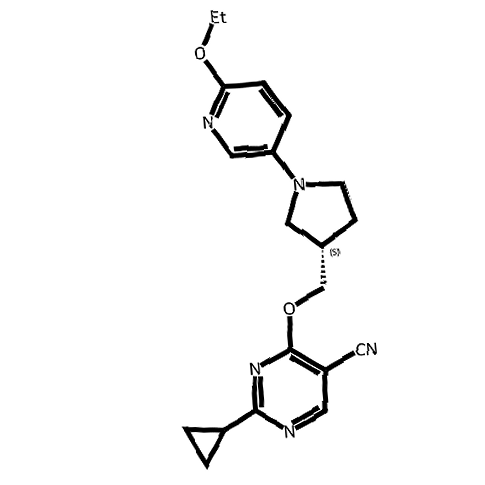 CCOc1ccc(N2CC[C@H](COc3nc(C4CC4)ncc3C#N)C2)cn1